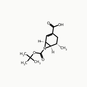 C[C@H]1CC(C(=O)O)=C[C@H]2[C@@H]1N2C(=O)OC(C)(C)C